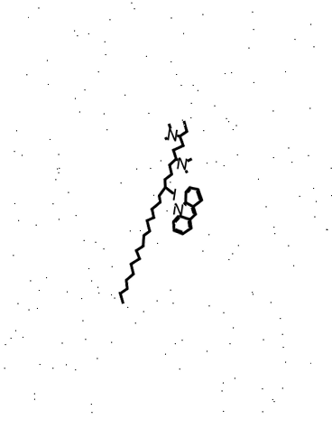 CCCCCCCCCCCCCCCCC(I)CCCC(CCC(CC)N(C)C)N(C)C.c1ccc2nc3ccccc3cc2c1